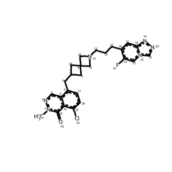 Cn1ncc2c(CC3CC4(C3)CN(CCCc3cc5nncn5cc3F)C4)ccc(Cl)c2c1=O